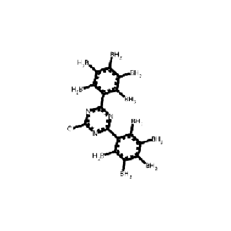 Bc1c(B)c(B)c(-c2nc(Cl)nc(-c3c(B)c(B)c(B)c(B)c3B)n2)c(B)c1B